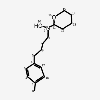 Cc1ccc(CCCCN(O)C2CCCCO2)cc1